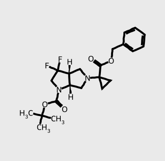 CC(C)(C)OC(=O)N1CC(F)(F)[C@@H]2CN(C3(C(=O)OCc4ccccc4)CC3)C[C@@H]21